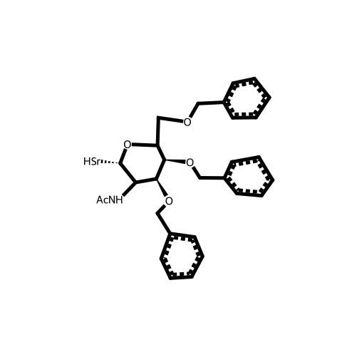 CC(=O)NC1[C@H]([SrH])OC(COCc2ccccc2)[C@@H](OCc2ccccc2)[C@H]1OCc1ccccc1